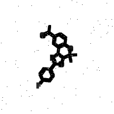 CC(=O)c1ccc2c(c1)C1N=C(c3ccc(F)cc3)OC1C(C)(C)O2